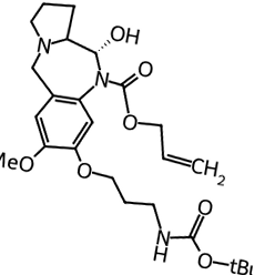 C=CCOC(=O)N1c2cc(OCCCNC(=O)OC(C)(C)C)c(OC)cc2CN2CCCC2[C@@H]1O